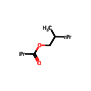 CCCC(C)COC(=O)C(C)C